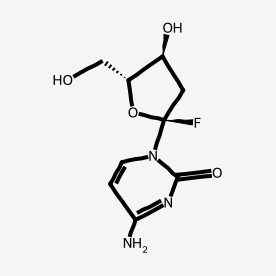 Nc1ccn([C@@]2(F)C[C@H](O)[C@@H](CO)O2)c(=O)n1